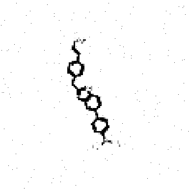 CN(C)c1ccc(-c2ccc3[nH]c(Cc4ccc(/C=C/C(=O)O)cc4)nc3c2)cc1